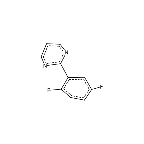 Fc1ccc(F)c(-c2ncccn2)c1